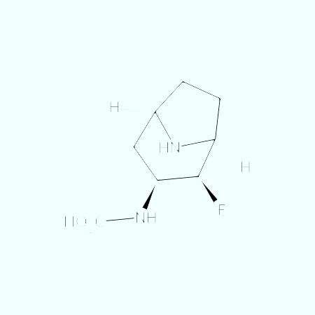 O=C(O)N[C@H]1C[C@H]2CC[C@H](N2)[C@H]1F